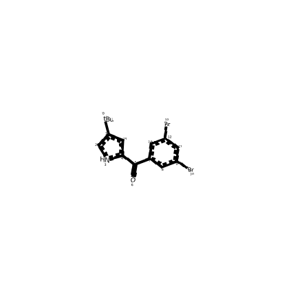 CC(C)(C)c1c[nH]c(C(=O)c2cc(Br)cc(Br)c2)c1